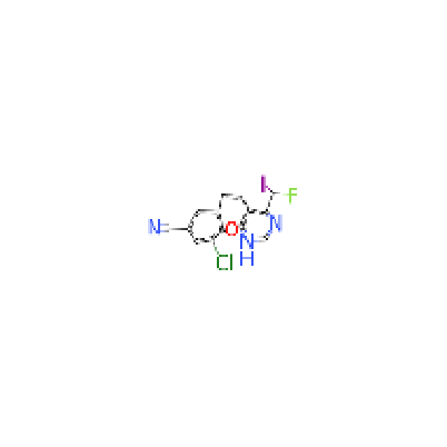 N#Cc1cc(Cl)cc(/C=C\c2c(C(F)I)nc[nH]c2=O)c1